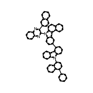 c1ccc(-c2ccc(-n3c4ccccc4c4c(-c5ccc6c(c5)c5c7ccccc7ccc5n6-c5nc6ccccc6nc5-c5ccc6ccccc6c5)cccc43)c3ccccc23)cc1